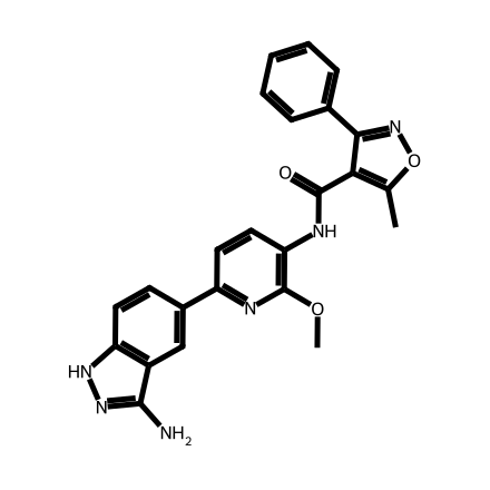 COc1nc(-c2ccc3[nH]nc(N)c3c2)ccc1NC(=O)c1c(-c2ccccc2)noc1C